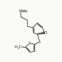 CNCCCc1cccc(Sc2ccc(C)s2)c1.Cl